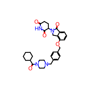 O=C1CCC(N2Cc3c(OCc4ccc(CN5CCN(C(=O)C6CCCCC6)CC5)cc4)cccc3C2=O)C(=O)N1